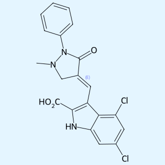 CN1C/C(=C\c2c(C(=O)O)[nH]c3cc(Cl)cc(Cl)c23)C(=O)N1c1ccccc1